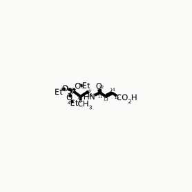 CCO[Si](OCC)(OCC)C(C)CNC(=O)C=CC(=O)O